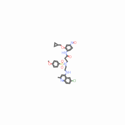 COc1ccc(S(=O)(=O)N(CCNc2cc(C)nc3ccc(Cl)cc23)CCC(=O)Nc2ccc(N=O)cc2OCC2CC2)cc1